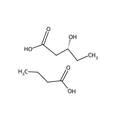 CCCC(=O)O.CC[C@@H](O)CC(=O)O